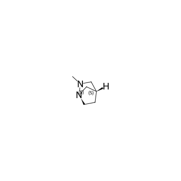 CN1C[C@@H]2CC[N@]1C2